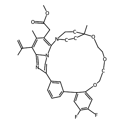 C=C(C)c1c(C)c(CC(=O)OC)c2n3cc(nc13)-c1cccc(c1)-c1cc(F)c(F)cc1OCCOCCOC1(C)CCN2CC1